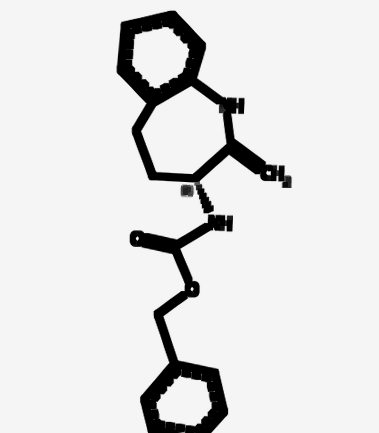 C=C1Nc2ccccc2CC[C@H]1NC(=O)OCc1ccccc1